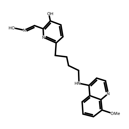 COc1cccc2c(NCCCCc3ccc(O)c(/C=N/O)n3)ccnc12